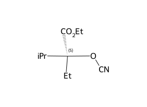 CCOC(=O)[C@@](CC)(OC#N)C(C)C